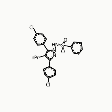 CCCc1c(-c2ccc(Cl)cc2)nn(NS(=O)(=O)c2ccccc2)c1-c1ccc(Cl)cc1